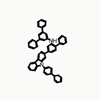 C1=CCC(c2ccc(-n3c4ccccc4c4ccc(-c5ccc(-c6ccccc6)c(Nc6cc(-c7ccccc7)cc(-c7ccccc7)c6)c5)cc43)cc2)C=C1